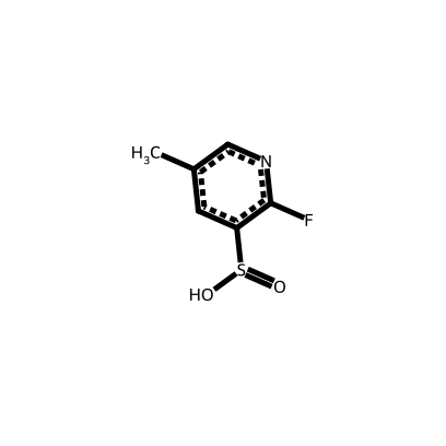 Cc1cnc(F)c(S(=O)O)c1